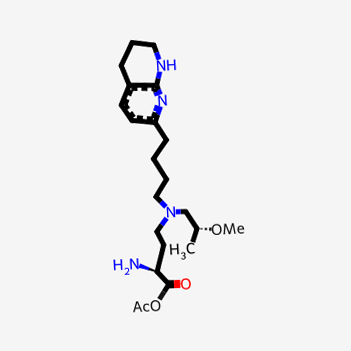 CO[C@H](C)CN(CCCCc1ccc2c(n1)NCCC2)CC[C@H](N)C(=O)OC(C)=O